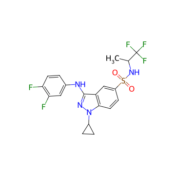 CC(NS(=O)(=O)c1ccc2c(c1)c(Nc1ccc(F)c(F)c1)nn2C1CC1)C(F)(F)F